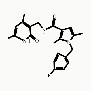 Cc1cc(C)c(CNC(=O)c2cc(C)n(Cc3ccc(F)cc3)c2C)c(=O)[nH]1